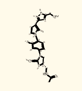 CC(=O)NC[C@H]1CN(c2ccc(-n3ccc(-c4noc(CO)n4)c3)c(F)c2)C(=O)O1